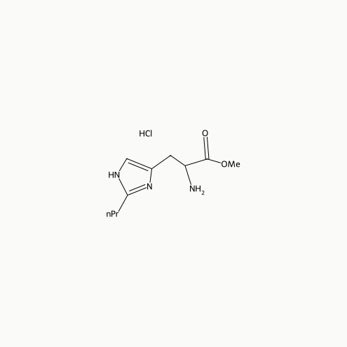 CCCc1nc(CC(N)C(=O)OC)c[nH]1.Cl